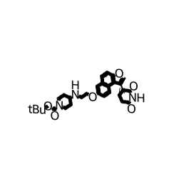 CC(C)(C)OC(=O)N1CCC(NCCOc2ccc3c(ccc4occ([C@@H]5CCC(=O)NC5=O)c43)c2)CC1